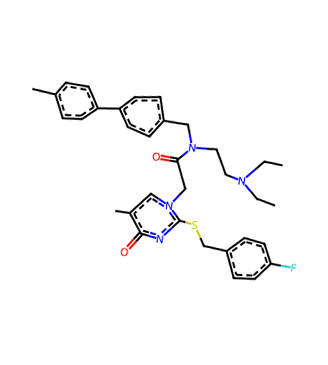 CCN(CC)CCN(Cc1ccc(-c2ccc(C)cc2)cc1)C(=O)Cn1cc(C)c(=O)nc1SCc1ccc(F)cc1